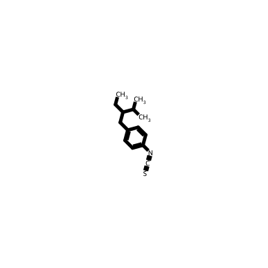 CCC(Cc1ccc(N=C=S)cc1)C(C)C